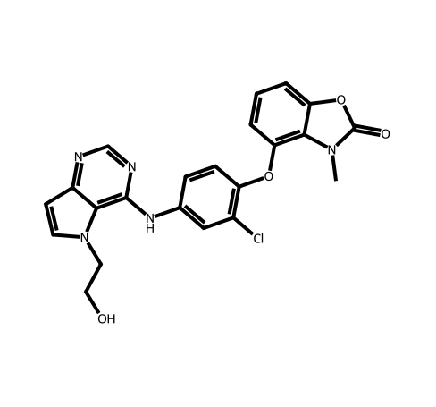 Cn1c(=O)oc2cccc(Oc3ccc(Nc4ncnc5ccn(CCO)c45)cc3Cl)c21